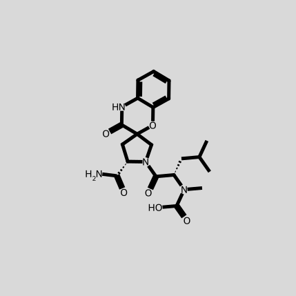 CC(C)C[C@@H](C(=O)N1CC2(C[C@H]1C(N)=O)Oc1ccccc1NC2=O)N(C)C(=O)O